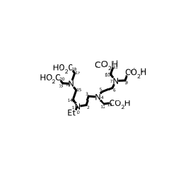 CCN(CCN(CCN(CC(=O)O)CC(=O)O)CC(=O)O)CCN(CC(=O)O)CC(=O)O